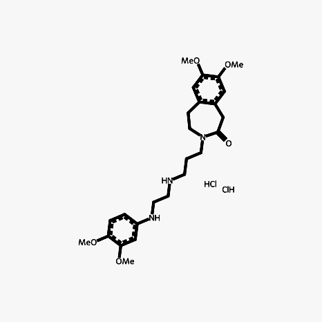 COc1ccc(NCCNCCCN2CCc3cc(OC)c(OC)cc3CC2=O)cc1OC.Cl.Cl